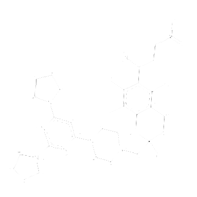 Cc1c(C)c(C(N)CCC(=O)O)c(C)c2c1OC(C)(CN1CCN(c3cc(N4CCCC4)nc(N4CCCC4)n3)CC1)CC2